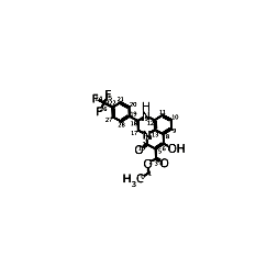 CCOC(=O)c1c(O)c2cccc3c2n(c1=O)CC(c1ccc(C(F)(F)F)cc1)N3